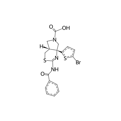 O=C(NC1=N[C@@]2(c3ccc(Br)s3)CN(C(=O)O)C[C@H]2CS1)c1ccccc1